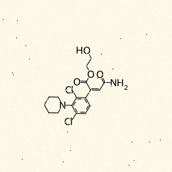 NC(=O)C=C(C(=O)OCCO)c1ccc(Cl)c(N2CCCCC2)c1Cl